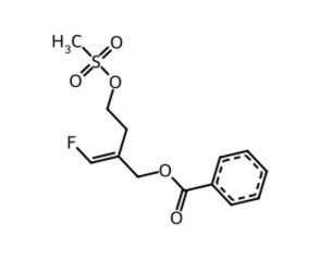 CS(=O)(=O)OCC/C(=C\F)COC(=O)c1ccccc1